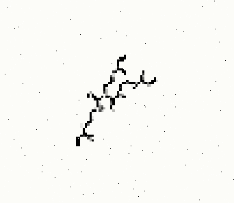 C=CC(=O)OCCNC(=O)N(CCOC(=O)C=C)C(=O)N(C)CCOC(=O)C=C